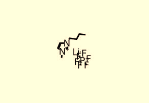 CCCCn1cc[n+](C)c1.F[P-](F)(F)(F)(F)F.[Li]